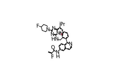 C=C(F)C(=O)Nc1ccc2c(-c3ccccc3CNc3nc(N4CCC(F)CC4)nc4c(C(C)C)cnn34)nccc2c1